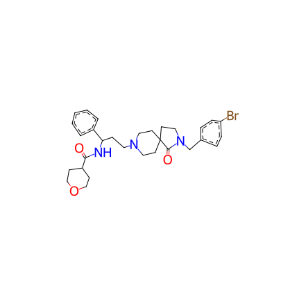 O=C(NC(CCN1CCC2(CC1)CCN(Cc1ccc(Br)cc1)C2=O)c1ccccc1)C1CCOCC1